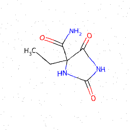 CCC1(C(N)=O)NC(=O)NC1=O